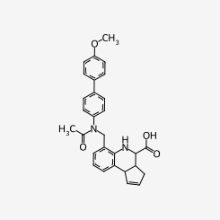 COc1ccc(-c2ccc(N(Cc3cccc4c3NC(C(=O)O)C3CC=CC43)C(C)=O)cc2)cc1